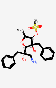 COC1O[C@H]([C@@](O)(CN)Cc2ccccc2)[C@@](O)(Cc2ccccc2)[C@H]1OS(=O)(=O)C(F)(F)F